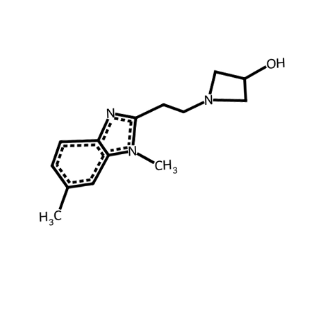 Cc1ccc2nc(CCN3CC(O)C3)n(C)c2c1